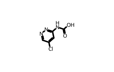 O=C(O)Nc1cc(Cl)cnn1